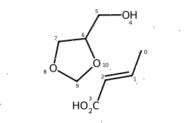 CC=CC(=O)O.OCC1COCO1